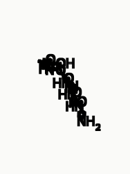 C=C1C[C@H]2C=Nc3cc(OCCCC(=O)Nc4cn(C)c(C(=O)Nc5cc(C(=O)NCc6ccc(N)cc6)n(C)c5)n4)c(O)cc3C(=O)N2C1